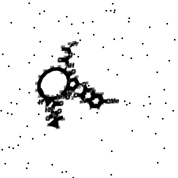 COc1ccc2nc(C(F)(F)F)c(O[C@@H]3C[C@H]4C(=O)N[C@]5(C(=O)NS(=O)(=O)C6(C)CC6)C[C@H]5/C=C\CCCCC[C@H](NC(=O)O[C@H](C)C(C)C)C(=O)N4C3)nc2c1